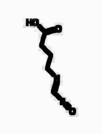 O=B/C=N/CCCC(=O)O